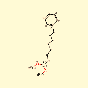 CCCO[SiH](CCCCCCCc1ccccc1)OCCC